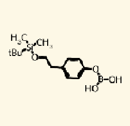 CC(C)(C)[Si](C)(C)OCCc1ccc(OB(O)O)cc1